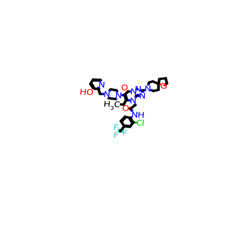 CCc1c(N2CCN(Cc3ncccc3O)CC2)c(=O)n2nc(N3CCC4(CCCO4)CC3)nc2n1CC(=O)Nc1ccc(C(F)(F)F)cc1Cl